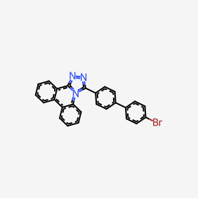 Brc1ccc(-c2ccc(-c3nnc4c5ccccc5c5ccccc5n34)cc2)cc1